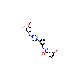 COc1cccc(C(=O)NCc2cccc(N3CCN(Cc4ccc(OC)c(OC)c4)CC3)c2)c1